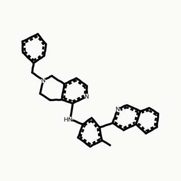 Cc1ccc(Nc2nccc3c2CCN(Cc2ccccc2)C3)cc1-c1cc2ccccc2cn1